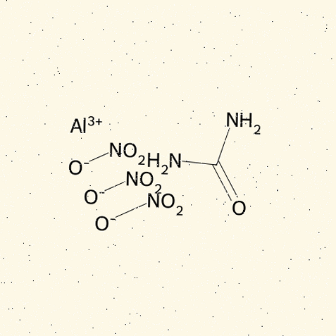 NC(N)=O.O=[N+]([O-])[O-].O=[N+]([O-])[O-].O=[N+]([O-])[O-].[Al+3]